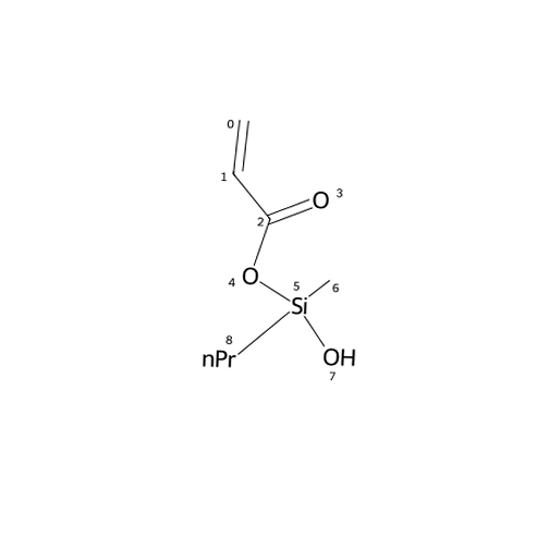 C=CC(=O)O[Si](C)(O)CCC